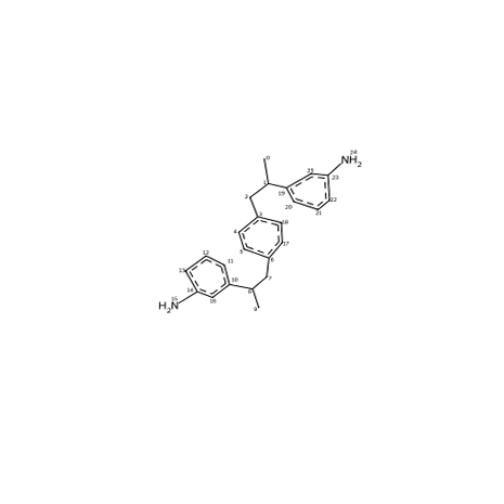 CC(Cc1ccc(CC(C)c2cccc(N)c2)cc1)c1cccc(N)c1